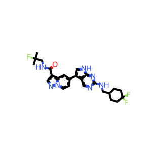 CC(C)(F)CNC(=O)c1cnn2ccc(-c3c[nH]c4nc(NCC5CCC(F)(F)CC5)ncc34)cc12